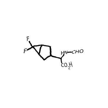 O=CNC(C(=O)O)C1CC2C(C1)C2(F)F